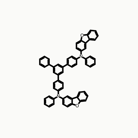 c1ccc(-c2cc(-c3ccc(N(c4ccccc4)c4ccc5oc6ccccc6c5c4)cc3)cc(-c3ccc(N(c4ccccc4)c4ccc5oc6ccccc6c5c4)cc3)c2)cc1